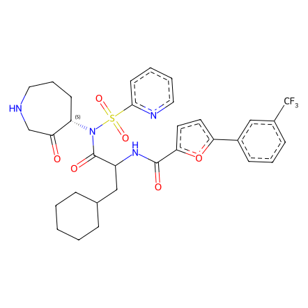 O=C(NC(CC1CCCCC1)C(=O)N([C@H]1CCCNCC1=O)S(=O)(=O)c1ccccn1)c1ccc(-c2cccc(C(F)(F)F)c2)o1